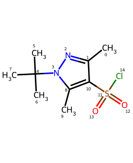 Cc1nn(C(C)(C)C)c(C)c1S(=O)(=O)Cl